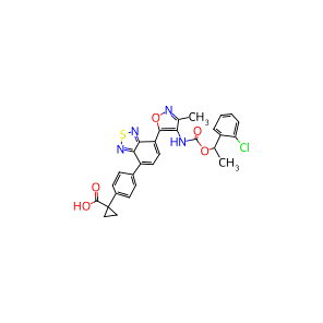 Cc1noc(-c2ccc(-c3ccc(C4(C(=O)O)CC4)cc3)c3nsnc23)c1NC(=O)OC(C)c1ccccc1Cl